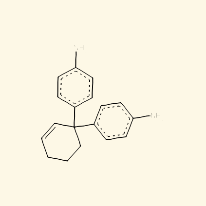 Nc1ccc(C2(c3ccc(N)cc3)C=CCCC2)cc1